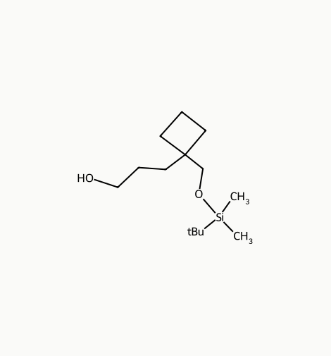 CC(C)(C)[Si](C)(C)OCC1(CCCO)CCC1